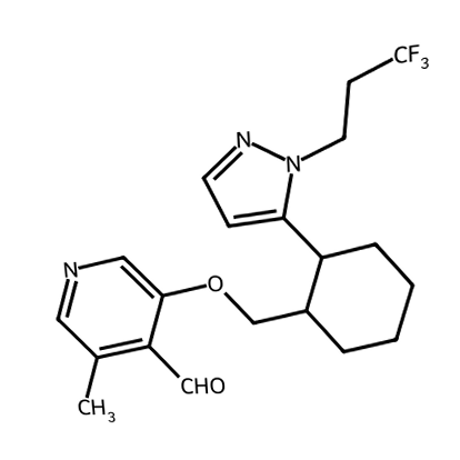 Cc1cncc(OCC2CCCCC2c2ccnn2CCC(F)(F)F)c1C=O